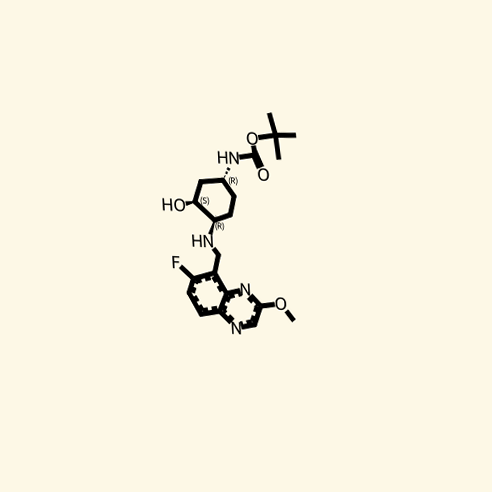 COc1cnc2ccc(F)c(CN[C@@H]3CC[C@@H](NC(=O)OC(C)(C)C)C[C@@H]3O)c2n1